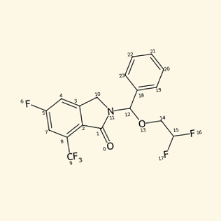 O=C1c2c(cc(F)cc2C(F)(F)F)CN1C(OCC(F)F)c1ccccc1